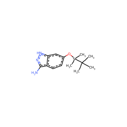 CC(C)(C)[Si](C)(C)Oc1ccc2c(N)n[nH]c2c1